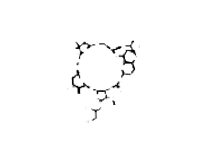 C=C1C2CC3O[C@H](CC(O)CO)[C@H](OC)C3CC(=O)CC3CCC4O[C@H]5C(C)O[C@@]6(CCOC5C(O6)[C@H]4O3)CCC3CC(C)(C)[C@H](CC[C@@H](C[C@H]1C)O2)O3